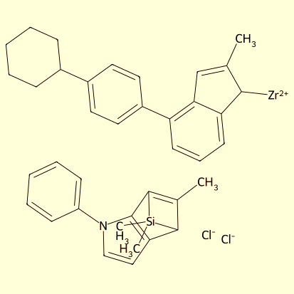 CC1=C2c3c(ccn3-c3ccccc3)C1[Si]2(C)C.CC1=Cc2c(-c3ccc(C4CCCCC4)cc3)cccc2[CH]1[Zr+2].[Cl-].[Cl-]